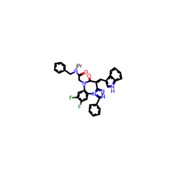 CC(C)N(Cc1ccccc1)C(=O)CN1C(=O)/C(=C/c2c[nH]c3ccccc23)c2nnc(-c3ccccc3)n2-c2cc(F)c(F)cc21